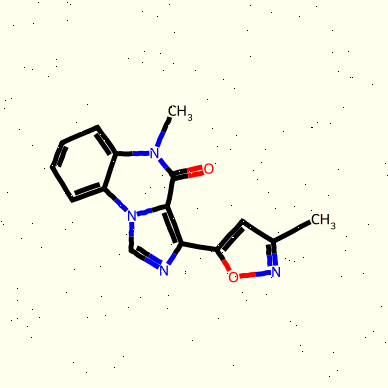 Cc1cc(-c2ncn3c2c(=O)n(C)c2ccccc23)on1